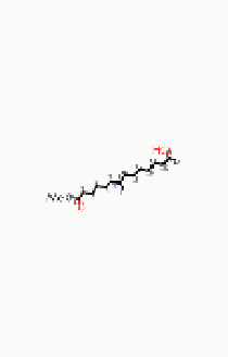 COC(=O)CCCC/C=C(\C)CCCCCCC(C)O